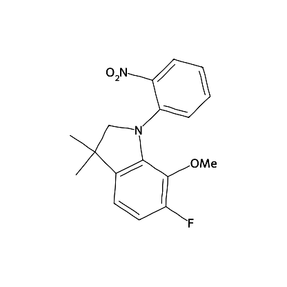 COc1c(F)ccc2c1N(c1ccccc1[N+](=O)[O-])CC2(C)C